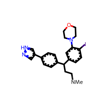 CNCCC(c1ccc(-c2cn[nH]c2)cc1)c1ccc(I)c(N2CCOCC2)c1